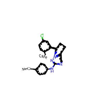 COc1ccc(Nc2ncc3ccc(-c4cc(Cl)ccc4OC)n3n2)cc1